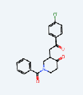 O=C(CC1CN(C(=O)c2ccccc2)CCC1=O)c1ccc(Cl)cc1